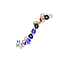 CCC(C)n1ncn(-c2ccc(N3CCN(c4ccc(OC[C@@H]5CO[C@@H](c6ccc(Cl)cc6Cl)O5)c(Cl)c4)CC3)cc2)c1=O